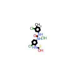 Cc1ccc(NC(=O)Nc2ccc(Cl)c(NC(O)=S)c2)cc1Cl.Cl